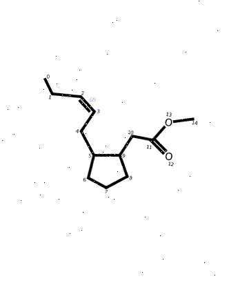 CC/C=C\CC1CCCC1CC(=O)OC